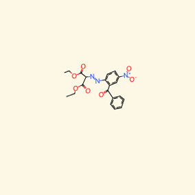 CCOC(=O)C(N=Nc1ccc([N+](=O)[O-])cc1C(=O)c1ccccc1)C(=O)OCC